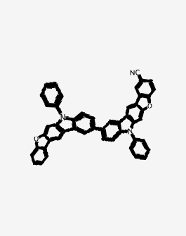 N#Cc1ccc2oc3cc4c(cc3c2c1)c1cc(-c2ccc3c(c2)c2cc5c(cc2n3-c2ccccc2)oc2ccccc25)ccc1n4-c1ccccc1